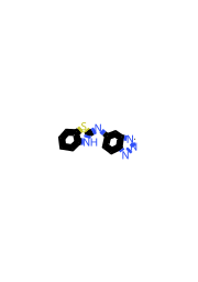 c1ccc2sc(=Nc3ccc4c(c3)[N]N=N4)[nH]c2c1